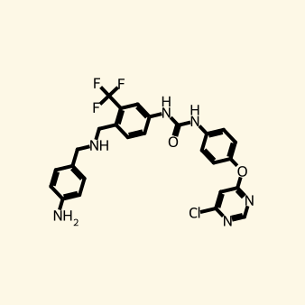 Nc1ccc(CNCc2ccc(NC(=O)Nc3ccc(Oc4cc(Cl)ncn4)cc3)cc2C(F)(F)F)cc1